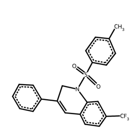 Cc1ccc(S(=O)(=O)N2CC(c3ccccc3)=Cc3ccc(C(F)(F)F)cc32)cc1